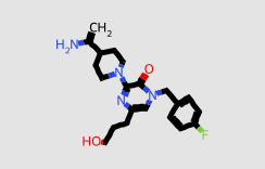 C=C(N)C1CCN(c2nc(CCCO)cn(Cc3ccc(F)cc3)c2=O)CC1